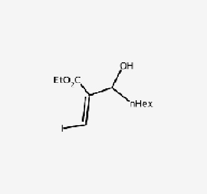 CCCCCCC(O)/C(=C/I)C(=O)OCC